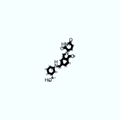 O=C1CCC(N2Cc3cc(CN[C@@H]4CCC[C@@H](CO)C4)ccc3C2=O)C(=O)N1